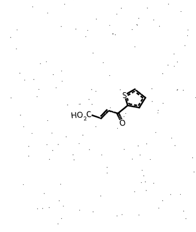 O=C(O)C=CC(=O)c1cccs1